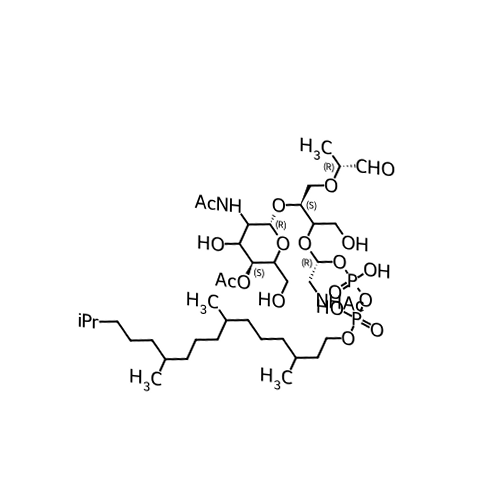 CC(=O)NC[C@H](OC(CO)[C@H](CO[C@H](C)C=O)O[C@@H]1OC(CO)[C@@H](OC(C)=O)C(O)C1NC(C)=O)OP(=O)(O)OP(=O)(O)OCCC(C)CCCC(C)CCCC(C)CCCC(C)C